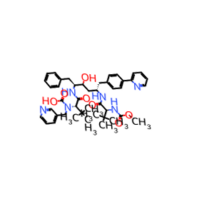 COC(=O)N[C@H](C(=O)N[C@@H](Cc1ccc(-c2ccccn2)cc1)C[C@H](O)[C@H](Cc1ccccc1)NC(=O)[C@@H](N(Cc1cccnc1)C(=O)O)C(C)(C)C)C(C)(C)C